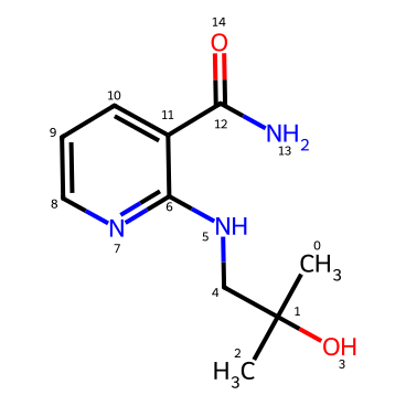 CC(C)(O)CNc1ncccc1C(N)=O